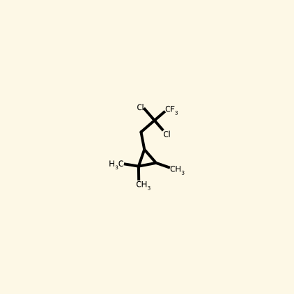 CC1C(CC(Cl)(Cl)C(F)(F)F)C1(C)C